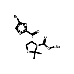 CC(C)(C)OC(=O)N1[C@@H](C(=O)c2nc(Br)cs2)COC1(C)C